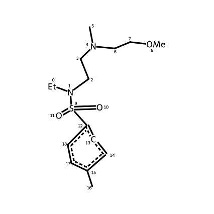 CCN(CCN(C)CCOC)S(=O)(=O)c1ccc(C)cc1